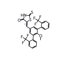 COc1c(-c2ccccc2C(F)(F)F)cc(/C=C2\SC(=S)NC2=O)cc1-c1ccccc1C(F)(F)F